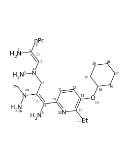 CCC/C(N)=C/N(N)C/C(=C(/N)c1ccc(OC2CCCCC2)c(CC)n1)N(C)N